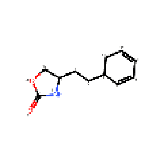 O=C1NC(CCC2C=CC=CC2)CO1